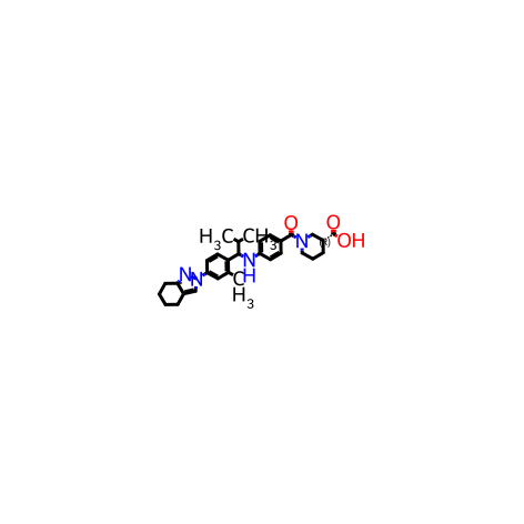 Cc1cc(-n2cc3c(n2)CCCC3)ccc1C(Nc1ccc(C(=O)N2CCC[C@@H](C(=O)O)C2)cc1)C(C)C